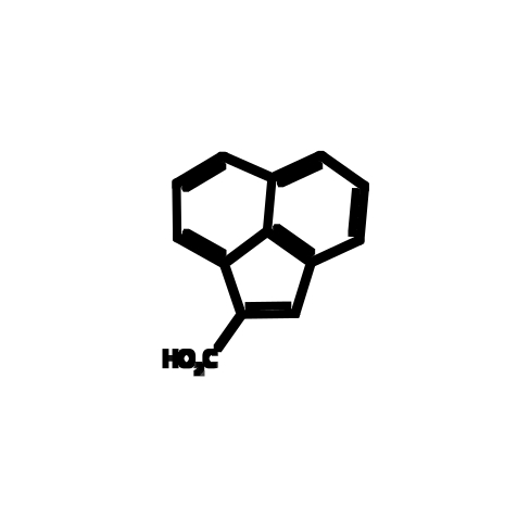 O=C(O)C1=Cc2cccc3cccc1c23